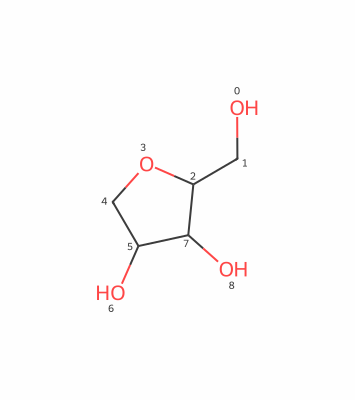 OCC1OCC(O)C1O